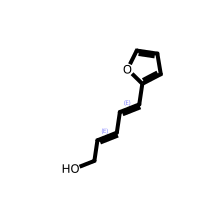 OC/C=C/C=C/c1ccco1